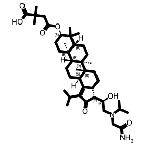 CC(C)C1=C2C(CC[C@]3(C)[C@@H]2CC[C@@H]2[C@@]4(C)CC[C@H](OC(=O)CC(C)(C)C(=O)O)C(C)(C)[C@@H]4CC[C@]23C)[C@H]([C@@H](O)CN(CC(N)=O)C(C)C)C1=O